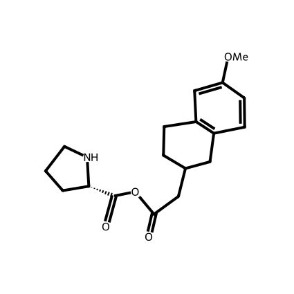 COc1ccc2c(c1)CCC(CC(=O)OC(=O)[C@@H]1CCCN1)C2